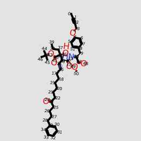 CC#CCOc1ccc(C[C@H](NC(=O)[C@@H](/C=C/CCCCCCC(=O)CCCCc2ccccc2)[C@@](O)(CCC)C(=O)OC(C)(C)C)C(=O)OC)cc1